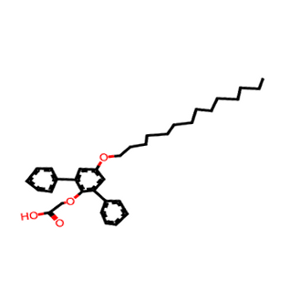 CCCCCCCCCCCCCCOc1cc(-c2ccccc2)c(OCC(=O)O)c(-c2ccccc2)c1